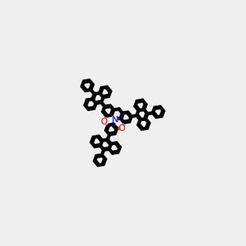 c1ccc(-c2c3ccccc3c(-c3cc4c5c(c3)Oc3cc(-c6c7ccccc7c(-c7ccccc7)c7ccccc67)cc6c3N5c3c(cc(-c5c7ccccc7c(-c7ccccc7)c7ccccc57)cc3O6)C4)c3ccccc23)cc1